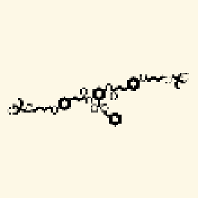 CCC1(COCCCCOc2ccc(/C=C/C(=O)Oc3ccc(OC(=O)/C=C/c4ccc(OCCCCOCC5(CC)COC5)cc4)c(C(=O)OCc4ccccc4)c3)cc2)COC1